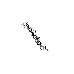 CCC[C@H]1CC[C@H](C(=O)Oc2ccc(C(=O)Oc3ccc(CC)cc3)cc2)CC1